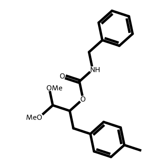 COC(OC)C(Cc1ccc(C)cc1)OC(=O)NCc1ccccc1